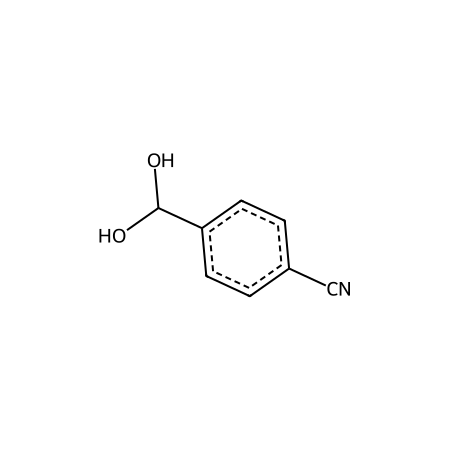 N#Cc1ccc(C(O)O)cc1